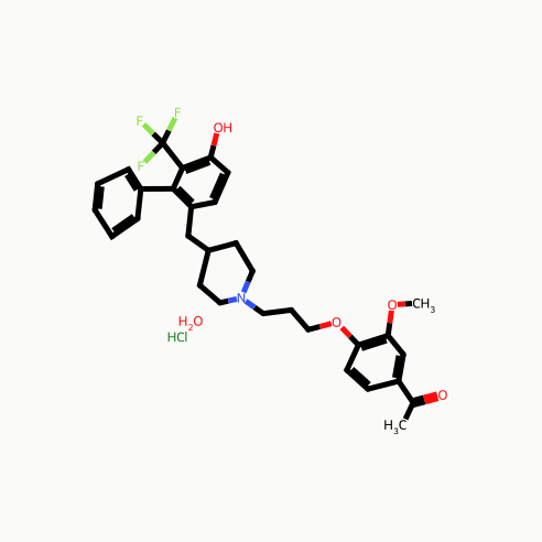 COc1cc(C(C)=O)ccc1OCCCN1CCC(Cc2ccc(O)c(C(F)(F)F)c2-c2ccccc2)CC1.Cl.O